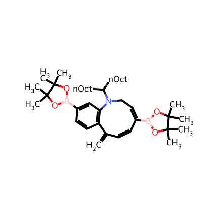 C=C1/C=C\C(B2OC(C)(C)C(C)(C)O2)=C/CN(C(CCCCCCCC)CCCCCCCC)c2cc(B3OC(C)(C)C(C)(C)O3)ccc21